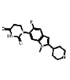 Cn1c(C2CCNCC2)cc2cc(F)c(N3CCC(=O)NC3=O)cc21